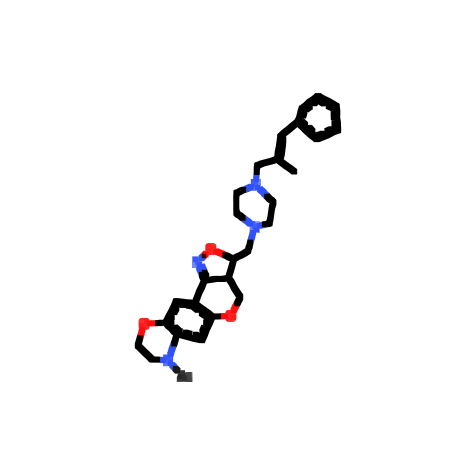 CC(=O)N1CCOc2cc3c(cc21)OCC1C3=NOC1CN1CCN(C/C(C)=C/c2ccccc2)CC1